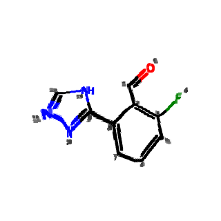 O=Cc1c(F)cccc1-c1nnc[nH]1